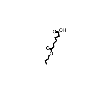 CCCCOC(=O)CCCCCC(=O)O